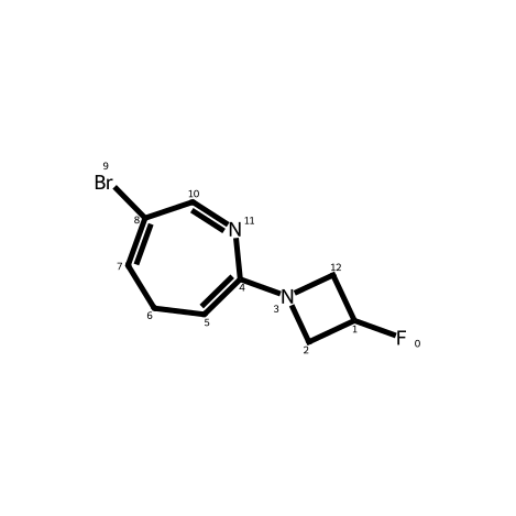 FC1CN(C2=CCC=C(Br)C=N2)C1